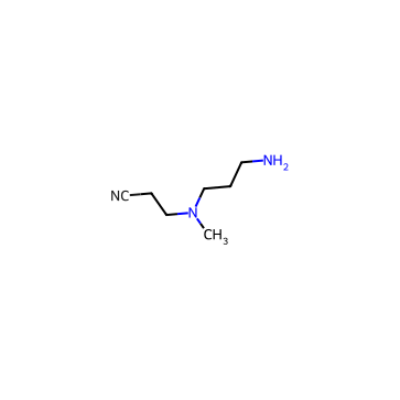 CN(CCC#N)CCCN